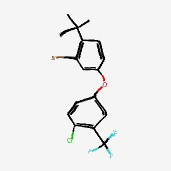 CC(C)(C)c1ccc(Oc2ccc(Cl)c(C(F)(F)F)c2)cc1Br